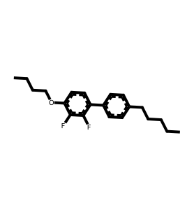 CCCCCc1ccc(-c2ccc(OCCCC)c(F)c2F)cc1